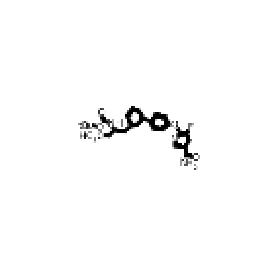 CC(C)(C)OC(=O)NC(CC(=O)O)Cc1cccc(-c2ccc(Oc3ncc(C(N)=O)cc3F)cc2)c1